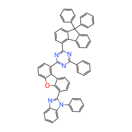 c1ccc(-c2nc(-c3cccc4c3-c3ccccc3C4(c3ccccc3)c3ccccc3)nc(-c3cccc4oc5c(-c6nc7ccccc7n6-c6ccccc6)cccc5c34)n2)cc1